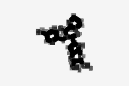 Cc1cc2[nH]c(C(=O)N(Cc3ccc(Br)cn3)[C@H](C)c3ncccn3)cc2nc1N